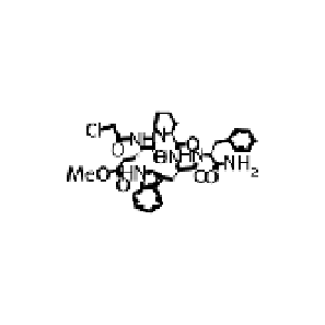 COC(=O)CC[C@H](NC(=O)CCl)C(=O)N1CCCC[C@H]1C(=O)N[C@@H](Cc1c[nH]c2ccccc12)C(=O)N[C@@H](Cc1ccccc1)C(N)=O